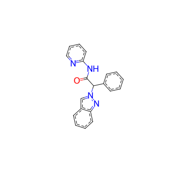 O=C(Nc1ccccn1)C(c1ccccc1)n1cc2ccccc2n1